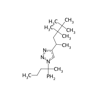 CCCC(C)(P)n1cc(C(C)CC(C)(C)C(C)(C)C)nn1